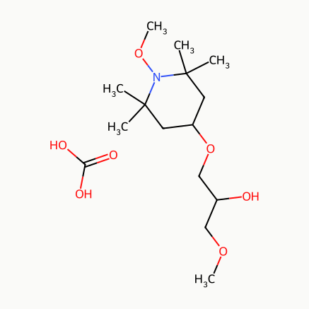 COCC(O)COC1CC(C)(C)N(OC)C(C)(C)C1.O=C(O)O